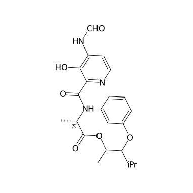 CC(C)C(Oc1ccccc1)C(C)OC(=O)[C@H](C)NC(=O)c1nccc(NC=O)c1O